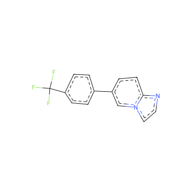 FC(F)(F)c1ccc(-c2ccc3nccn3c2)cc1